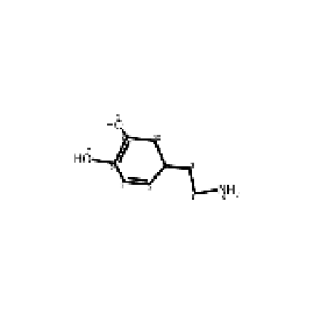 NCCC1C=CC(O)=C(O)C1